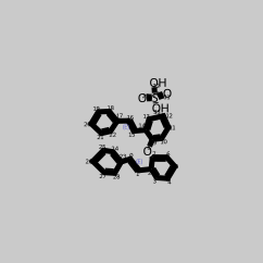 C(=C\c1ccccc1Oc1ccccc1/C=C/c1ccccc1)/c1ccccc1.O=S(=O)(O)O